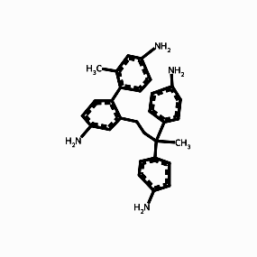 Cc1cc(N)ccc1-c1ccc(N)cc1CCC(C)(c1ccc(N)cc1)c1ccc(N)cc1